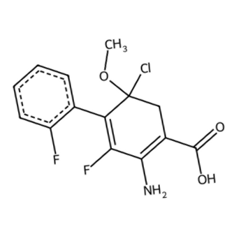 COC1(Cl)CC(C(=O)O)=C(N)C(F)=C1c1ccccc1F